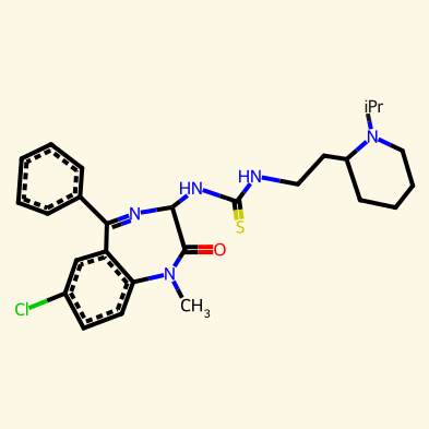 CC(C)N1CCCCC1CCNC(=S)NC1N=C(c2ccccc2)c2cc(Cl)ccc2N(C)C1=O